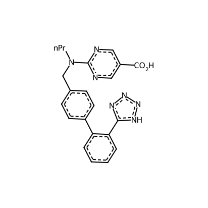 CCCN(Cc1ccc(-c2ccccc2-c2nnn[nH]2)cc1)c1ncc(C(=O)O)cn1